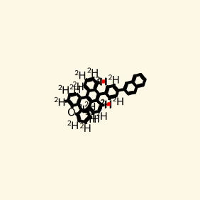 [2H]c1c([2H])c(-c2c3c([2H])c([2H])c([2H])c([2H])c3c(-c3c([2H])c([2H])c([2H])c4oc5c([2H])c([2H])c([2H])c([2H])c5c34)c3c([2H])c([2H])c([2H])c([2H])c23)c([2H])c([2H])c1-c1ccc2ccccc2c1